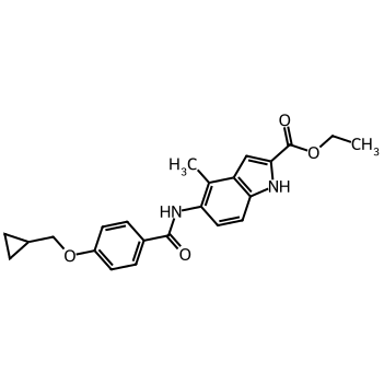 CCOC(=O)c1cc2c(C)c(NC(=O)c3ccc(OCC4CC4)cc3)ccc2[nH]1